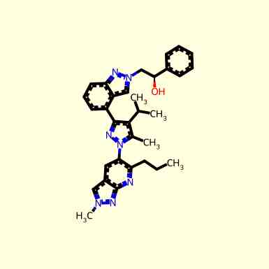 CCCc1nc2nn(C)cc2cc1-n1nc(-c2cccc3nn(C[C@H](O)c4ccccc4)cc23)c(C(C)C)c1C